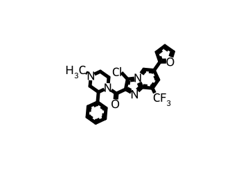 CN1CCN(C(=O)c2nc3c(C(F)(F)F)cc(-c4ccco4)cn3c2Cl)C(c2ccccc2)C1